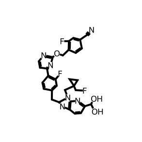 N#Cc1ccc(COc2nccc(-c3ccc(Cc4nc5ccc(C(O)O)nc5n4CC4(CF)CC4)cc3F)n2)c(F)c1